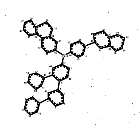 c1ccc(-c2cccc(-c3ccc(N(c4ccc(-c5ccc6ccccc6c5)cc4)c4ccc5c(ccc6ccccc65)c4)cc3-c3ccccc3)c2)cc1